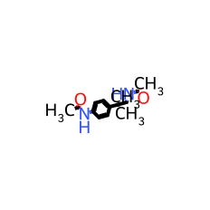 CC(=O)NCC(C)(C)c1ccc(NC(C)=O)cc1